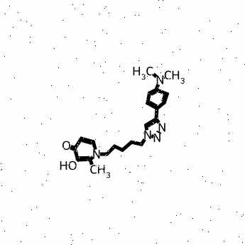 Cc1c(O)c(=O)ccn1CCCCCn1cc(-c2ccc(N(C)C)cc2)nn1